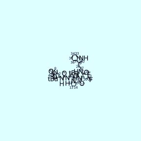 CN(C[C@@H](NC(=O)N[C@H](C(=O)N1CCC[C@H]1C(=O)N[C@@H](CC(F)F)C(=O)NCCc1c[nH]c2ccccc12)C(C)(C)C)C(C)(C)C)S(C)(=O)=O